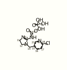 O=P(O)(O)O.O=[N+]([O-])NC1=NCCN1Cc1ccc(Cl)nc1